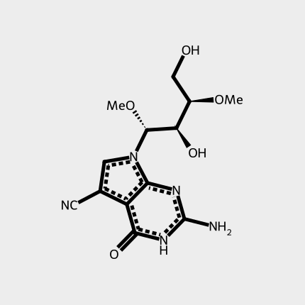 CO[C@H]([C@H](O)[C@@H](CO)OC)n1cc(C#N)c2c(=O)[nH]c(N)nc21